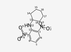 O=[N+]([O-])c1cccc([N+](=O)[O-])c1NC1CCCCC1